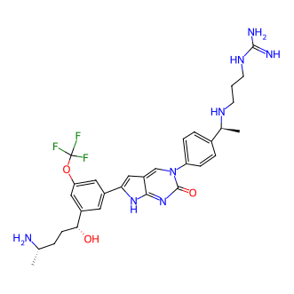 C[C@H](N)CC[C@@H](O)c1cc(OC(F)(F)F)cc(-c2cc3cn(-c4ccc([C@H](C)NCCCNC(=N)N)cc4)c(=O)nc3[nH]2)c1